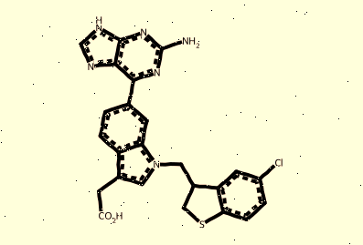 Nc1nc(-c2ccc3c(CC(=O)O)cn(CC4CSc5ccc(Cl)cc54)c3c2)c2nc[nH]c2n1